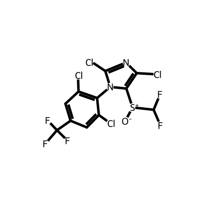 [O-][S+](c1c(Cl)nc(Cl)n1-c1c(Cl)cc(C(F)(F)F)cc1Cl)C(F)F